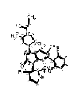 C=CC(=O)N1C[C@H](C)N(c2nc(=O)n(-c3c(C(C)C)ccnc3SC)c3nc(-c4c(O)cccc4F)c(F)cc23)C[C@H]1C